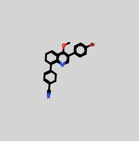 COc1c(-c2ccc(Br)cc2)cnc2c1=CCCC=2C1=CC=C(C#N)CC1